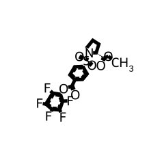 COC(=O)[C@H]1CCCN1S(=O)(=O)c1ccc(C(=O)Oc2c(F)c(F)c(F)c(F)c2F)cc1